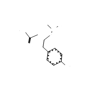 C=C(C[C@@H](Cc1ccc(OC)cc1)N[S@@+]([O-])C(C)(C)C)C(=O)O